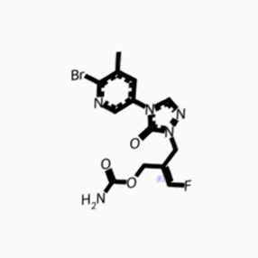 Cc1cc(-n2cnn(C/C(=C\F)COC(N)=O)c2=O)cnc1Br